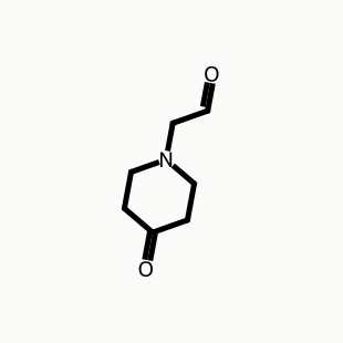 O=CCN1CCC(=O)CC1